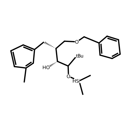 Cc1cccc(C[C@H](COCc2ccccc2)[C@@H](O)C(O[SiH](C)C)C(C)(C)C)c1